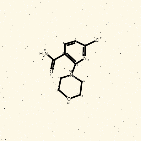 NC(=O)c1ccc(Cl)nc1N1CCOCC1